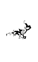 Cc1nc2c(s1)c(C=N)c(C(NCc1cccc(F)n1)=C1CCC1)n2C